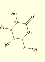 O=C1OC(CO)[C@H](O)C(O)C1O